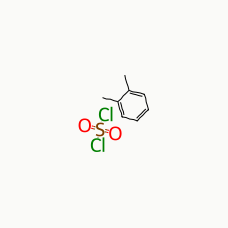 Cc1ccccc1C.O=S(=O)(Cl)Cl